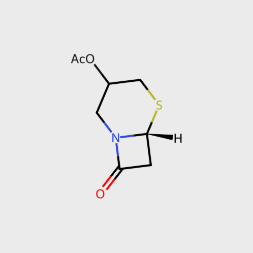 CC(=O)OC1CS[C@@H]2CC(=O)N2C1